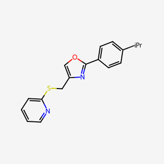 CC(C)c1ccc(-c2nc(CSc3ccccn3)co2)cc1